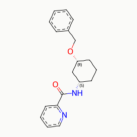 O=C(N[C@H]1CCC[C@@H](OCc2ccccc2)C1)c1ccccn1